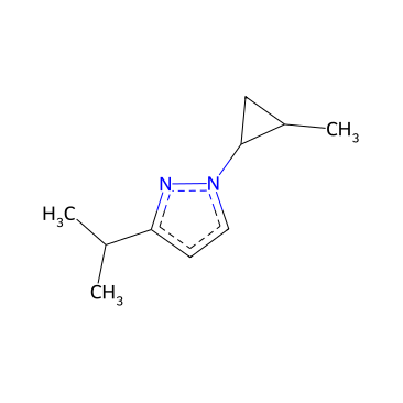 CC(C)c1ccn(C2CC2C)n1